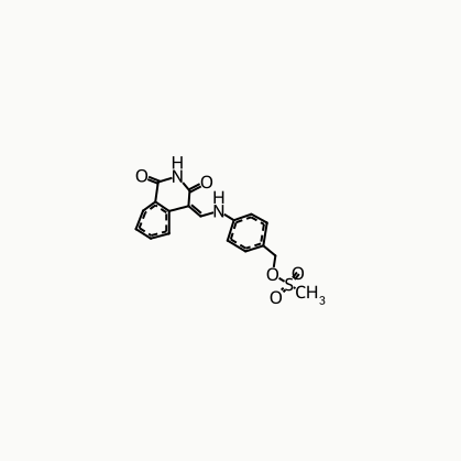 CS(=O)(=O)OCc1ccc(NC=C2C(=O)NC(=O)c3ccccc32)cc1